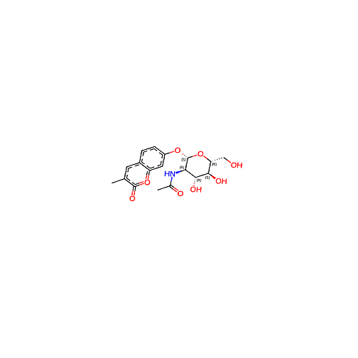 CC(=O)N[C@H]1[C@H](Oc2ccc3cc(C)c(=O)oc3c2)O[C@H](CO)[C@@H](O)[C@@H]1O